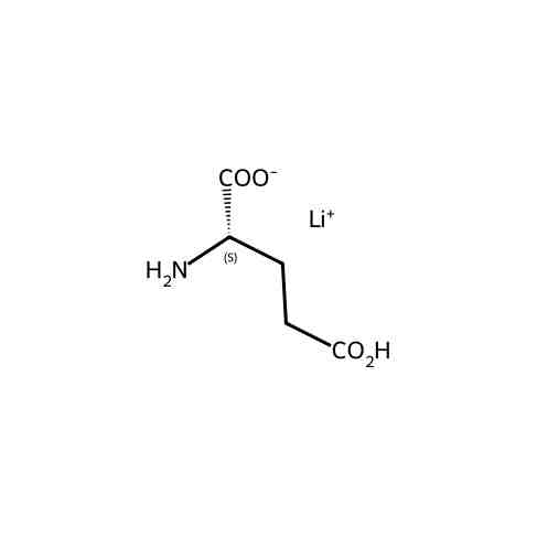 N[C@@H](CCC(=O)O)C(=O)[O-].[Li+]